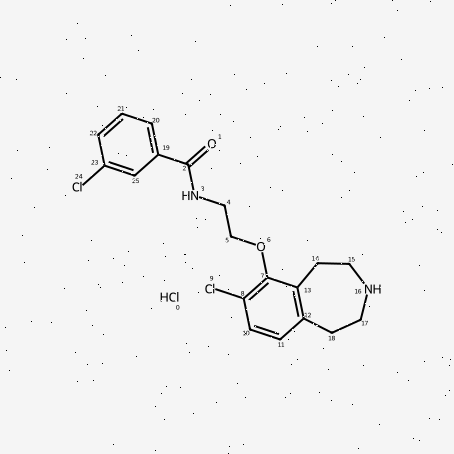 Cl.O=C(NCCOc1c(Cl)ccc2c1CCNCC2)c1cccc(Cl)c1